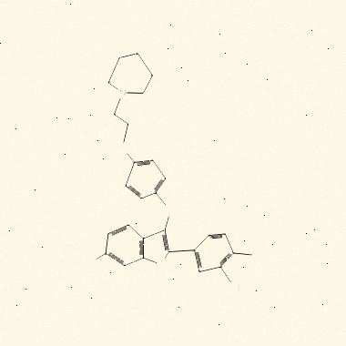 Oc1ccc2c(Oc3ccc(OCCN4CCCCC4)cc3)c(-c3ccc(O)c(Cl)c3)sc2c1